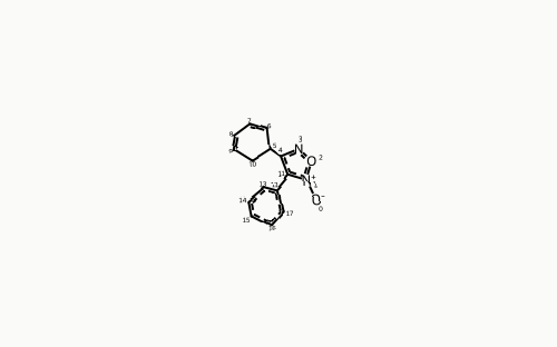 [O-][n+]1onc(C2C=CC=CC2)c1-c1ccccc1